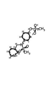 CS(=O)(=O)Oc1ccc(N(Cc2cccnc2)S(C)(=O)=O)cc1